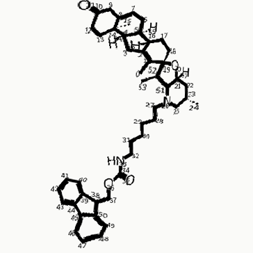 CC1=C2C[C@H]3[C@@H](CC=C4CC(=O)CC[C@@]43C)[C@@H]2CC[C@]12O[C@@H]1C[C@H](C)CN(CCCCCCNC(=O)OCC3c4ccccc4-c4ccccc43)C1[C@H]2C